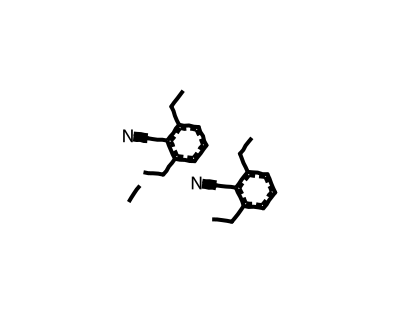 CC.CCc1cccc(CC)c1C#N.CCc1cccc(CC)c1C#N